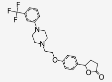 O=C1CCC(c2ccc(OCCN3CCN(c4cccc(C(F)(F)F)c4)CC3)cc2)O1